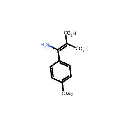 COc1ccc(C(N)=C(C(=O)O)C(=O)O)cc1